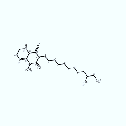 CN1C(=O)N(CCCCCCCCCC(O)CO)C(=O)C2NCCN=C21